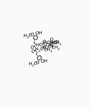 CC(C(=O)O)N(C)C.CC(C(=O)O)N(C)C.COc1cc(C=CC(=O)CC(=O)C=Cc2ccc(O)c(OC)c2)ccc1O.Cl.Cl